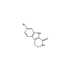 O=C1NCCc2c1[nH]c1cc(Br)ccc21